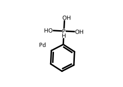 O[PH](O)(O)c1ccccc1.[Pd]